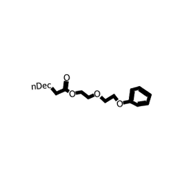 CCCCCCCCCCCC(=O)OCCOCCOc1ccccc1